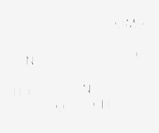 COc1cc2c3ccnc(C)c3c(=O)n(C)c2cc1Cl